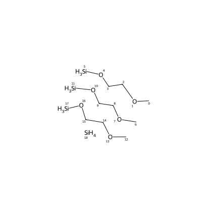 COCCO[SiH3].COCCO[SiH3].COCCO[SiH3].[SiH4]